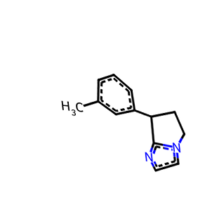 Cc1cccc(C2CCn3ccnc32)c1